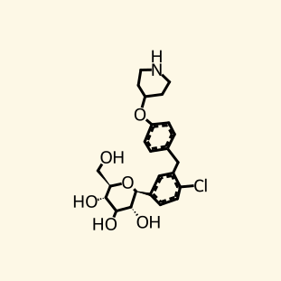 OC[C@H]1O[C@@H](c2ccc(Cl)c(Cc3ccc(OC4CCNCC4)cc3)c2)[C@H](O)C(O)[C@@H]1O